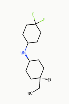 CC[C@]1(CC#N)CC[C@@H](NC2CCC(F)(F)CC2)CC1